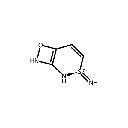 N=[S@@]1C=Cc2o[nH]c2N1